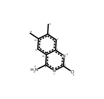 Cc1cc2nc(Cl)nc(N)c2cc1C